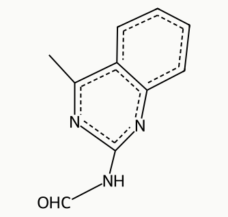 Cc1nc(NC=O)nc2ccccc12